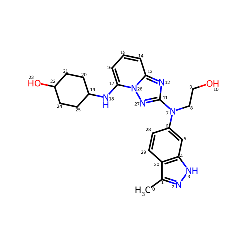 Cc1n[nH]c2cc(N(CCO)c3nc4cccc(NC5CCC(O)CC5)n4n3)ccc12